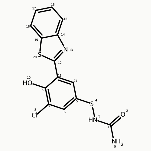 NC(=O)NSc1cc(Cl)c(O)c(-c2nc3ccccc3s2)c1